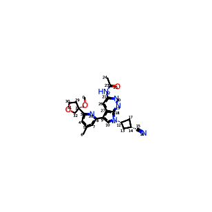 CO[C@@]1(c2cc(C)cc(-c3cn([C@H]4C[C@@H](C#N)C4)c4nnc(NC(C)=O)cc34)n2)CCOC1